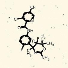 CC1(C)OC(N)=NC(C)(c2cc(NC(=O)c3ncc(Cl)cc3Cl)ccc2F)C1(F)F